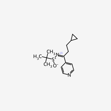 CC(C)(C)[S+]([O-])/N=C(/CCC1CC1)c1ccncc1